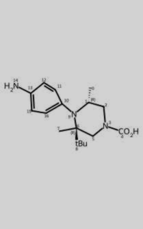 C[C@@H]1CN(C(=O)O)C[C@@](C)(C(C)(C)C)N1c1ccc(N)cc1